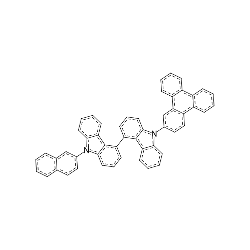 c1ccc2cc(-n3c4ccccc4c4c(-c5cccc6c5c5ccccc5n6-c5ccc6c7ccccc7c7ccccc7c6c5)cccc43)ccc2c1